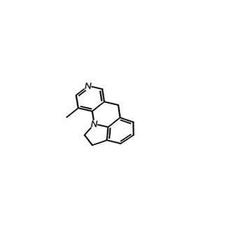 Cc1cncc2c1N1CCc3cccc(c31)C2